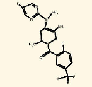 CC1CC(N(N)c2ncc(F)cn2)=C(N)CN1C(=O)c1cc(C(F)(F)F)ccc1F